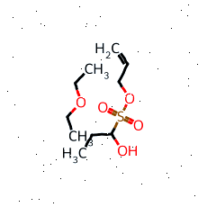 C=CCOS(=O)(=O)C(O)CC.CCOCC